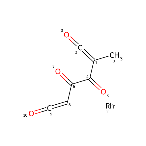 CC(=C=O)C(=O)C(=O)C=C=O.[Rh]